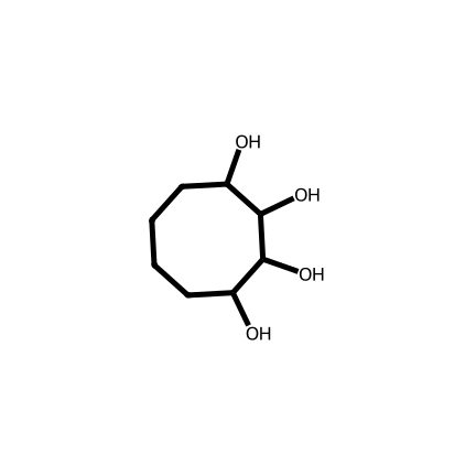 OC1CCCCC(O)C(O)C1O